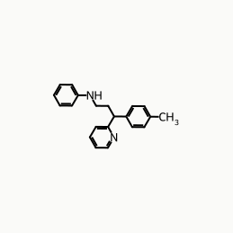 Cc1ccc(C(CCNc2ccccc2)c2ccccn2)cc1